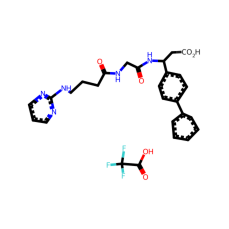 O=C(O)C(F)(F)F.O=C(O)CC(NC(=O)CNC(=O)CCCNc1ncccn1)c1ccc(-c2ccccc2)cc1